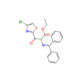 CCOC(=O)C(N=C(c1ccccc1)c1ccccc1)C(=O)c1nc(Br)cs1